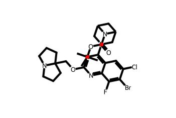 CC(C)(C)OC(=O)N1C2CC1CN(c1nc(OCC34CCCN3CCC4)nc3c(F)c(Br)c(Cl)cc13)C2